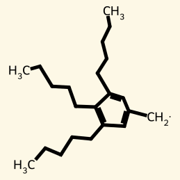 [CH2]c1cc(CCCCC)c(CCCCC)c(CCCCC)c1